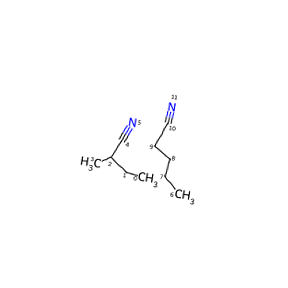 CCC(C)C#N.CCCCC#N